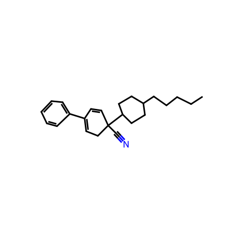 CCCCCC1CCC(C2(C#N)C=CC(c3ccccc3)=CC2)CC1